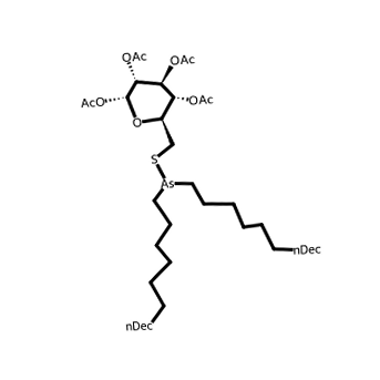 CCCCCCCCCCCCCCCC[As](CCCCCCCCCCCCCCCC)SC[C@H]1O[C@H](OC(C)=O)[C@H](OC(C)=O)[C@@H](OC(C)=O)[C@@H]1OC(C)=O